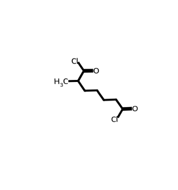 CC(CCCCC(=O)Cl)C(=O)Cl